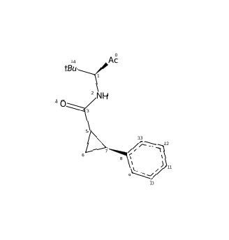 CC(=O)[C@@H](NC(=O)C1C[C@@H]1c1ccccc1)C(C)(C)C